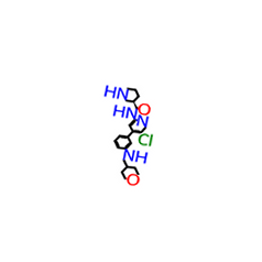 O=C(Nc1cc(-c2cccc(NCC3CCOCC3)c2)c(Cl)cn1)[C@@H]1CCCNC1